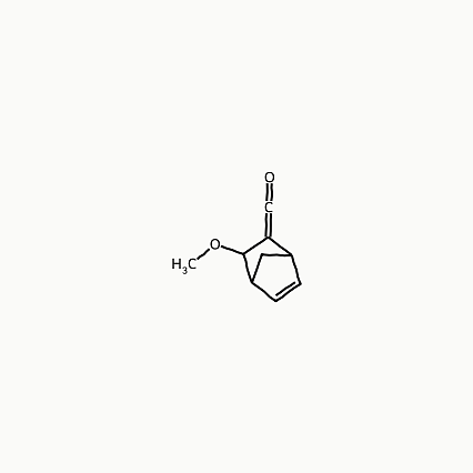 COC1C(=C=O)C2C=CC1C2